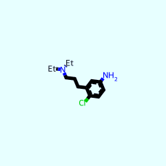 CCN(CC)CCCc1cc(N)ccc1Cl